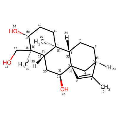 CC1=C[C@]23C[C@H]1CC[C@H]2[C@]1(C)CC[C@@H](O)[C@](C)(CO)[C@H]1C[C@@H]3O